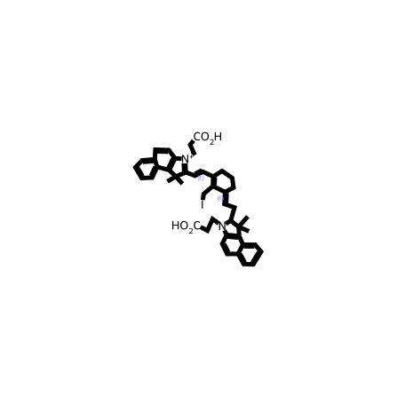 CC1(C)C(/C=C/C2=C(CI)C(=C/CC3N(CCC(=O)O)c4ccc5ccccc5c4C3(C)C)/CCC2)=[N+](CCC(=O)O)c2ccc3ccccc3c21